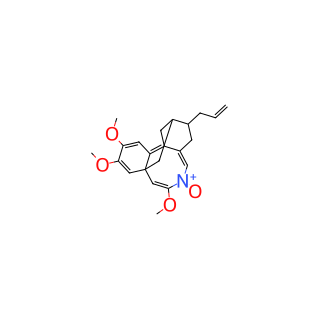 C=CCC1C/C2=C/[N+](=O)/C(OC)=C\C34C=C(OC)C(OC)=CC3=C2CC1C4